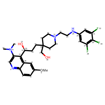 COc1ccc2ncc(N(C)C)c([C@@H](O)CCC3(CO)CCN(CCNc4cc(F)c(F)c(F)c4)CC3)c2c1